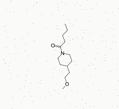 CCCCC(=O)N1CCC(CCOC)CC1